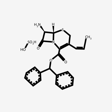 C/C=C\C1=C(C(=O)OC(c2ccccc2)c2ccccc2)N2C(=O)[C@@H](N)[C@@H]2SC1.O=S(=O)(O)O